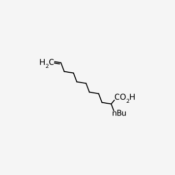 C=CCCCCCCCC(CCCC)C(=O)O